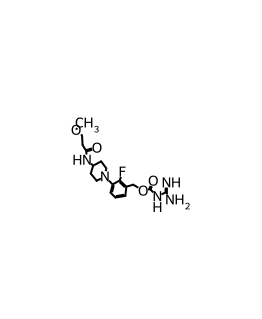 COCCC(=O)NC1CCN(c2cccc(COC(=O)NC(=N)N)c2F)CC1